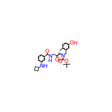 CC(C)(C)OC(=O)N1Cc2cc(O)ccc2C[C@H]1[C@H](O)CNC(=O)c1cccc(NC2CCC2)c1